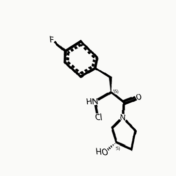 O=C([C@H](Cc1ccc(F)cc1)NCl)N1CC[C@H](O)C1